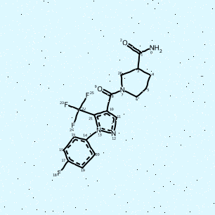 NC(=O)C1CCCN(C(=O)c2cnn(-c3ccc(F)cc3)c2C(F)(F)F)C1